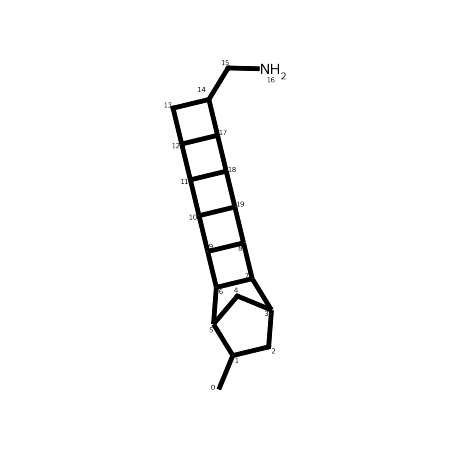 CC1CC2CC1C1C2C2C1C1C3C4CC(CN)C4C3C21